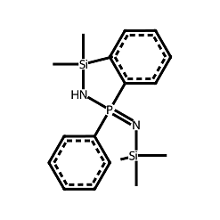 C[Si](C)(C)N=P(N[Si](C)(C)C)(c1ccccc1)c1ccccc1